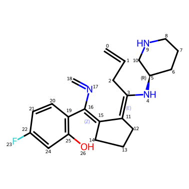 C=CC/C(N[C@@H]1CCCNC1)=C1/CCC/C1=C(/N=C)c1ccc(F)cc1O